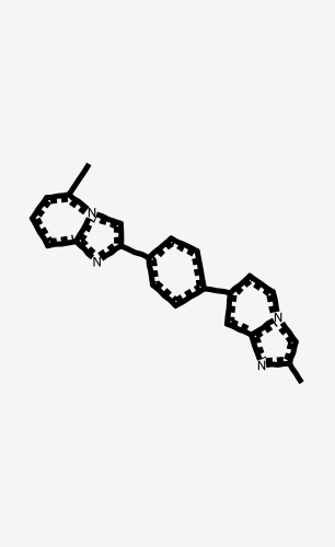 Cc1cn2ccc(-c3ccc(-c4cn5c(C)cccc5n4)cc3)cc2n1